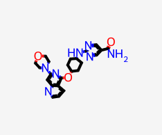 NC(=O)c1cnc(NC2CCC(Oc3nc(N4CCOCC4)cc4ncccc34)CC2)nc1